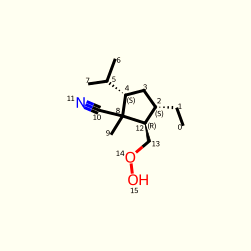 CC[C@H]1C[C@@H](C(C)C)C(C)(C#N)[C@@H]1COO